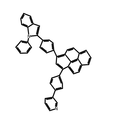 c1ccc(-n2c(-c3ccc(-c4cc(-c5ccc(-c6cccnc6)cc5)c5ccc6cccc7ccc4c5c67)cc3)cc3ccccc32)cc1